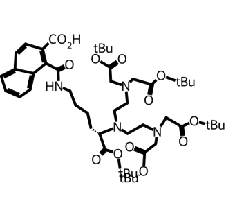 CC(C)(C)OC(=O)CN(CCN(CCN(CC(=O)OC(C)(C)C)CC(=O)OC(C)(C)C)[C@@H](CCCCNC(=O)c1c(C(=O)O)ccc2ccccc12)C(=O)OC(C)(C)C)CC(=O)OC(C)(C)C